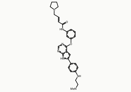 CNCCNc1ccc(-c2cc3c(Oc4cccc(NC(=O)/C=C/CN5CCCC5)c4)ncnc3[nH]2)cc1